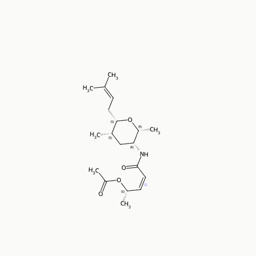 CC(=O)O[C@@H](C)/C=C\C(=O)N[C@@H]1C[C@H](C)[C@H](CC=C(C)C)O[C@@H]1C